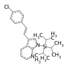 CC(C)[Si](C(C)C)(C(C)C)n1cc(/C=C/c2ccc(Cl)cc2)c2cccnc21